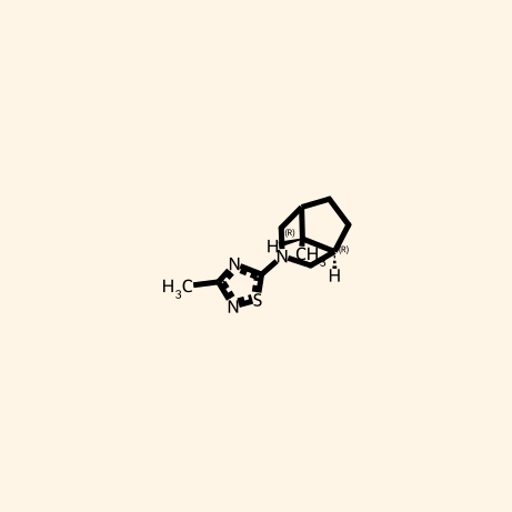 Cc1nsc(N2CC3CC[C@@H](C2)[C@@H]3C)n1